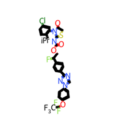 CC(C)c1ccc(Cl)cc1N1C(=O)CS/C1=N\C(=O)OCC(F)c1ccc(-c2ncn(-c3ccc(OC(F)(F)C(F)(F)F)cc3)n2)cc1